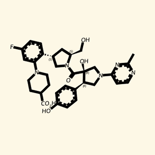 Cc1nccc(N2C[C@@H](c3ccc(O)cc3)[C@](O)(C(=O)N3C[C@H](c4ccc(F)cc4N4CCC(C(=O)O)CC4)C[C@H]3CO)C2)n1